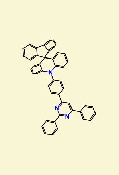 c1ccc(-c2cc(-c3ccc(N4c5ccccc5C5(c6ccccc6-c6ccccc65)c5ccccc54)cc3)nc(-c3ccccc3)n2)cc1